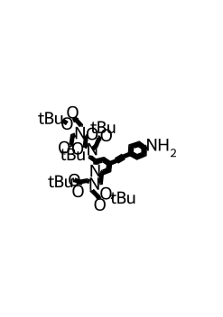 CC(C)(C)OC(=O)CN(CCN(CC(=O)OC(C)(C)C)Cc1cc(C#Cc2ccc(N)cc2)cc(CN(CC(=O)OC(C)(C)C)CC(=O)OC(C)(C)C)n1)CC(=O)OC(C)(C)C